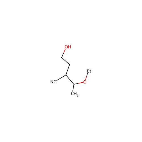 CCOC(C)C(C#N)CCO